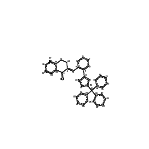 O=C1/C(=C/c2ccccc2-c2cn(C(c3ccccc3)(c3ccccc3)c3ccccc3)cn2)CCc2ncncc21